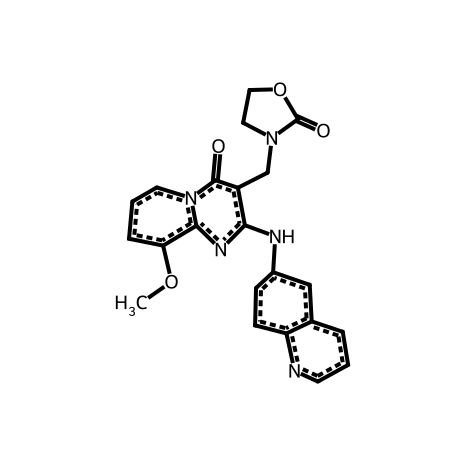 COc1cccn2c(=O)c(CN3CCOC3=O)c(Nc3ccc4ncccc4c3)nc12